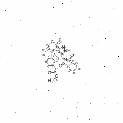 COC(=O)Cc1ccc2c(c1)C(CCN1C(=O)c3ccccc3C1=O)(c1nn[nH]n1)c1cc(F)ccc1CC2